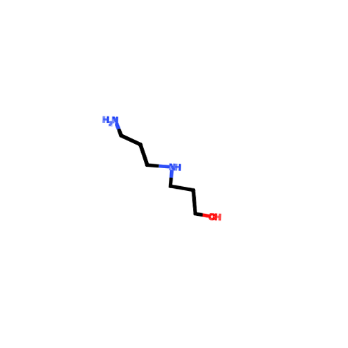 NCCCNCCCO